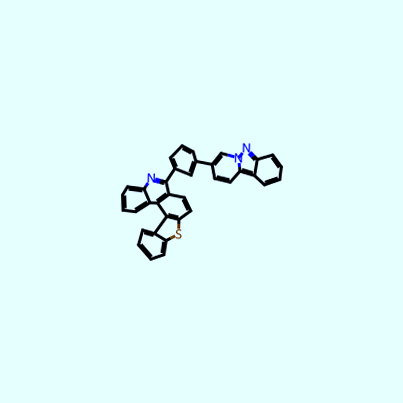 c1cc(-c2ccc3c4ccccc4nn3c2)cc(-c2nc3ccccc3c3c2ccc2sc4ccccc4c23)c1